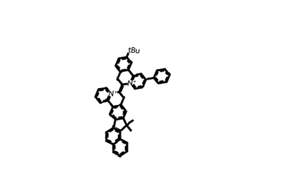 CC(C)(C)c1ccc2c(c1)-c1cc(-c3ccccc3)cc[n+]1/C(=C1\Cc3cc4c(cc3-c3cccc[n+]31)-c1ccc3ccccc3c1C4(C)C)C2